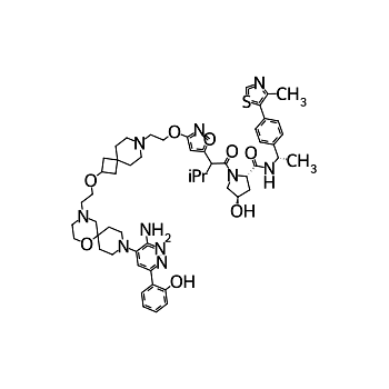 Cc1ncsc1-c1ccc([C@H](C)NC(=O)[C@@H]2C[C@@H](O)CN2C(=O)C(c2cc(OCCN3CCC4(CC3)CC(OCCN3CCOC5(CCN(c6cc(-c7ccccc7O)nnc6N)CC5)C3)C4)no2)C(C)C)cc1